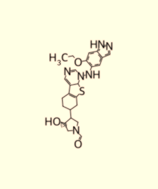 CCOc1cc2[nH]ncc2cc1NN1C=NC=C2C3=C(CC(C4CN(C=O)C[C@H]4O)CC3)SC21